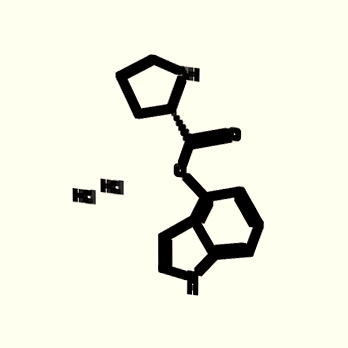 Cl.Cl.O=C(Oc1cccc2[nH]ccc12)[C@@H]1CCCN1